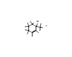 COC(C)(C)C1(C)C(C)=C(C)C(C)(C)C(C)(C)C1(C)OC